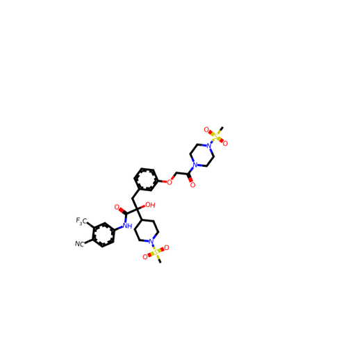 CS(=O)(=O)N1CCC(C(O)(Cc2cccc(OCC(=O)N3CCN(S(C)(=O)=O)CC3)c2)C(=O)Nc2ccc(C#N)c(C(F)(F)F)c2)CC1